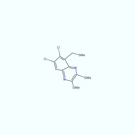 COc1nc2cc(Cl)c(Cl)c(CSC)c2nc1OC